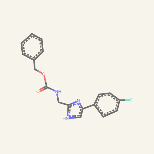 O=C(NCc1nc(-c2ccc(F)cc2)c[nH]1)OCc1ccccc1